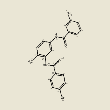 Cc1cccc(C(=O)Nc2ccc(C)c(NC(=O)c3ccc(O)cc3)c2)c1